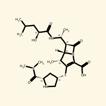 CC(C)C[C@H](O)C(=O)N[C@H](C)[C@H]1C(=O)N2C(C(=O)O)=C(S[C@@H]3CN[C@H](C(=O)N(C)C)C3)[C@H](C)[C@H]12